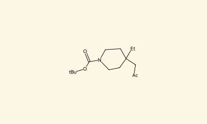 CCC1(CC(C)=O)CCN(C(=O)OC(C)(C)C)CC1